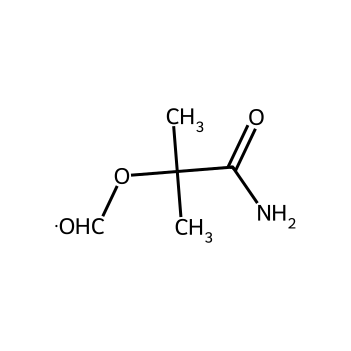 CC(C)(O[C]=O)C(N)=O